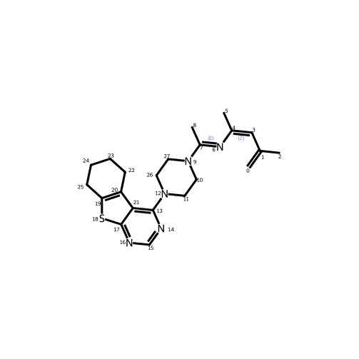 C=C(C)/C=C(C)\N=C(/C)N1CCN(c2ncnc3sc4c(c23)CCCC4)CC1